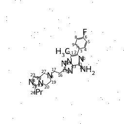 Cc1c(-c2ccc(F)cc2)nc(N)c2nc(CCN3CCn4c(cnc4C(C)C)C3)nn12